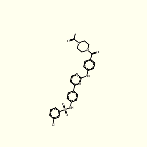 CC(=O)N1CCN(C(=O)c2ccc(Nc3nccc(-c4ccc(NS(=O)(=O)c5cccc(Cl)c5)cc4)n3)cc2)CC1